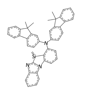 C=[Si]1c2c(N(c3ccc4c(c3)C(C)(C)c3ccccc3-4)c3ccc4c(c3)C(C)(C)c3ccccc3-4)cccc2-n2c1nc1ccccc12